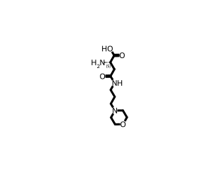 N[C@@H](CC(=O)NCCCN1CCOCC1)C(=O)O